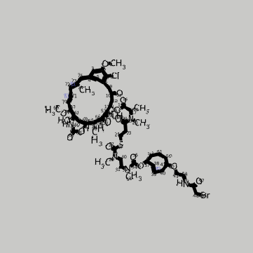 COc1cc2cc(c1Cl)CC(=O)C[C@H](OC(=O)[C@H](C)N(C)C(=O)CCSC(=O)N(C)CCN(C)C(=O)OC1/C=C/CC(OCCNC(=O)CBr)CCC1)[C@]1(C)O[C@H]1[C@H](C)[C@@H]1C[C@@](O)(NC(=O)O1)[C@H](OC)/C=C/C=C(\C)C2